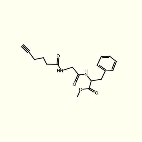 C#CCCCC(=O)NCC(=O)NC(Cc1ccccc1)C(=O)OC